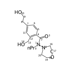 [CH2]CCN(C(=O)c1ccc(CCO)cc1CO)N1CCOCC1